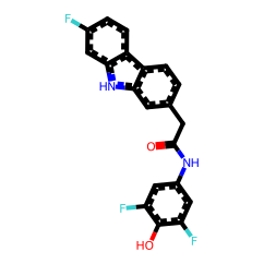 O=C(Cc1ccc2c(c1)[nH]c1cc(F)ccc12)Nc1cc(F)c(O)c(F)c1